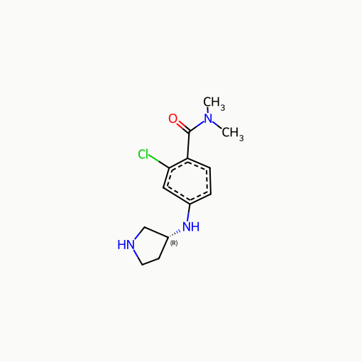 CN(C)C(=O)c1ccc(N[C@@H]2CCNC2)cc1Cl